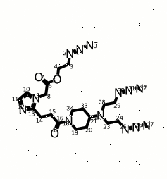 [N-]=[N+]=NCCOC(=O)Cn1ccnc1CCC(=O)N1CCC(N(CCN=[N+]=[N-])CCN=[N+]=[N-])CC1